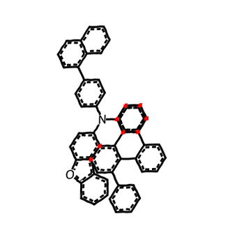 c1ccc(-c2ccccc2-c2c(-c3ccccc3)cccc2-c2ccccc2N(c2ccc(-c3cccc4ccccc34)cc2)c2ccc3oc4ccccc4c3c2)cc1